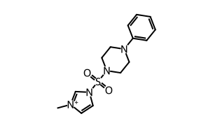 C[n+]1ccn(S(=O)(=O)N2CCN(c3ccccc3)CC2)c1